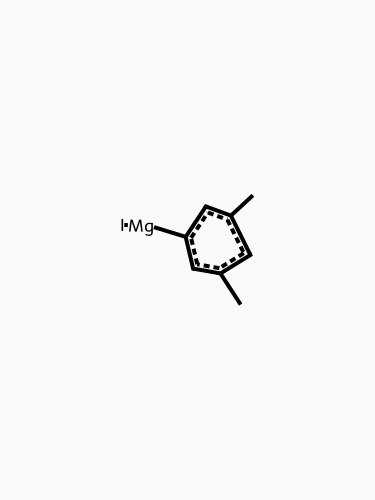 Cc1cc(C)c[c]([Mg][I])c1